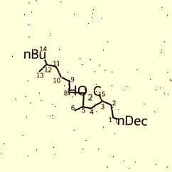 CCCCCCCCCCCCC(CC(C)CCCCCC(C)CCCC)C(=O)O